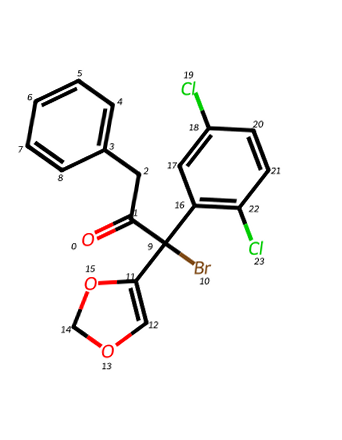 O=C(Cc1ccccc1)C(Br)(C1=COCO1)c1cc(Cl)ccc1Cl